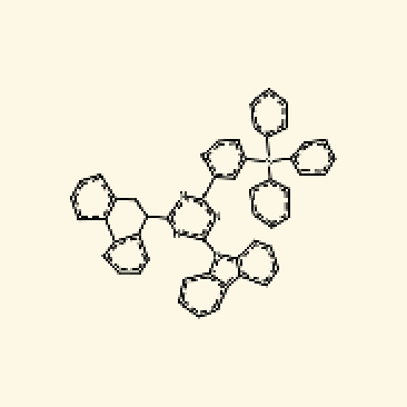 c1ccc(S(c2ccccc2)(c2ccccc2)c2cccc(-c3nc(C4Cc5ccccc5-c5ccccc54)nc(-n4c5ccccc5c5ccccc54)n3)c2)cc1